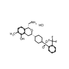 Cc1ccc2c(c1O)C[C@@H](C1CCN(S(=O)(=O)c3ccccc3C(F)(F)F)CC1)O[C@H]2CN.Cl